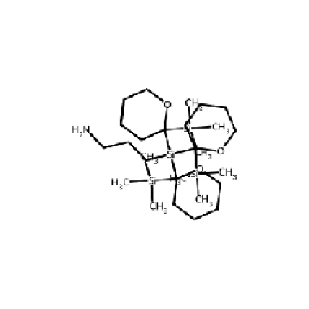 C[Si](C)(C)C1([Si](CCCN)(C2([Si](C)(C)C)CCCCO2)C2([Si](C)(C)C)CCCCO2)CCCCO1